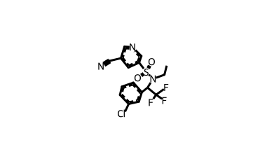 CCN(C(c1cccc(Cl)c1)C(F)(F)F)S(=O)(=O)c1cncc(C#N)c1